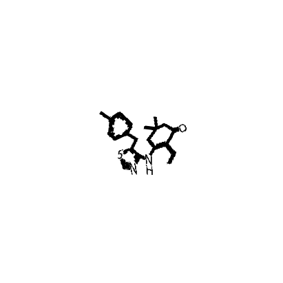 CCC1=C(Nc2ncsc2Cc2ccc(C)cc2)CC(C)(C)CC1=O